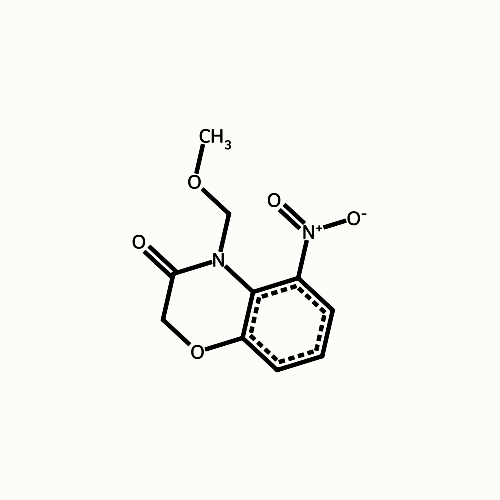 COCN1C(=O)COc2cccc([N+](=O)[O-])c21